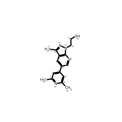 Cc1cc(-c2cnc3c(c2)c(N)nn3CCO)cc(C)n1